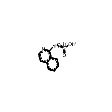 CCCc1nccc2ccccc12.O=[SH](=O)O